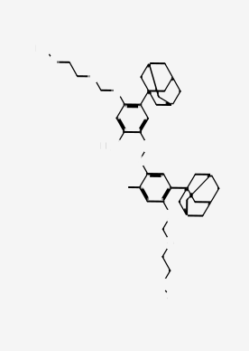 COCCOCOc1cc(C)c([Se][Se]c2cc(C34CC5CC(CC(C5)C3)C4)c(OCOCCOC)cc2C)cc1C12CC3CC(CC(C3)C1)C2